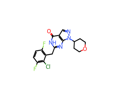 O=c1[nH]c(Cc2c(F)ccc(F)c2Cl)nc2c1cnn2C1CCOCC1